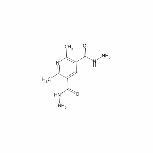 Cc1nc(C)c(C(=O)NN)cc1C(=O)NN